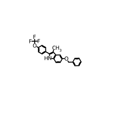 Cc1c(-c2ccc(OC(F)(F)F)cc2)[nH]c2ccc(OCc3ccccc3)cc12